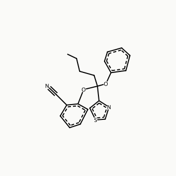 CCCCC(Oc1ccccc1)(Oc1ccccc1C#N)c1cscn1